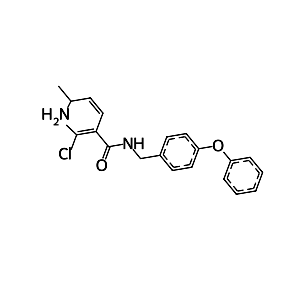 C/C(Cl)=C(\C=C/C(C)N)C(=O)NCc1ccc(Oc2ccccc2)cc1